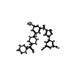 Cc1cc(Nc2ncn(-c3cc(F)cc(F)c3)n2)cc(N2CCN(C(=O)N3CCOCC3)CC2)c1